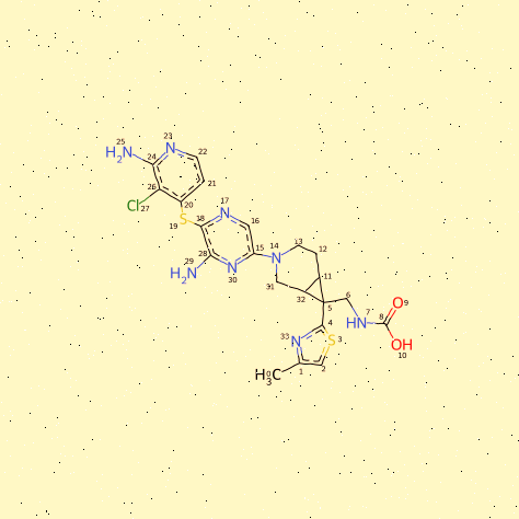 Cc1csc(C2(CNC(=O)O)C3CCN(c4cnc(Sc5ccnc(N)c5Cl)c(N)n4)CC32)n1